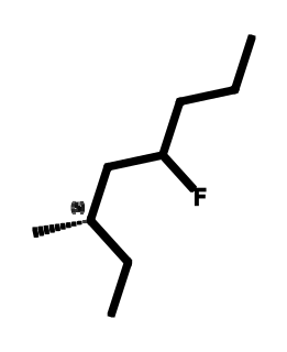 CCCC(F)C[C@@H](C)CC